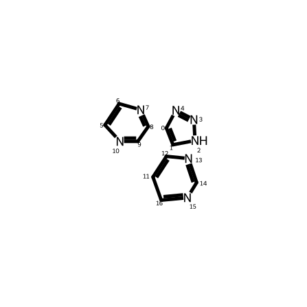 c1c[nH]nn1.c1cnccn1.c1cncnc1